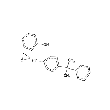 C1CO1.CC(C)(c1ccccc1)c1ccc(O)cc1.Oc1ccccc1